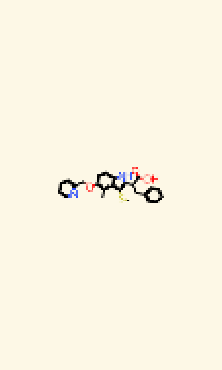 CSc1c(C(Cc2ccccc2)C(=O)O)[nH]c2ccc(OCc3ccccn3)c(C)c12